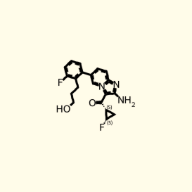 Nc1nc2ccc(-c3cccc(F)c3CCCO)cn2c1C(=O)[C@@H]1C[C@@H]1F